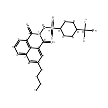 CCCCc1cc2c3c(cccc3c1)C(=O)N(OS(=O)(=O)C1CCC(C(F)(F)F)CC1)C2=O